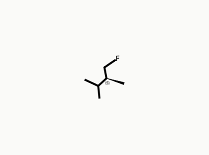 CC(C)[C@H](C)CF